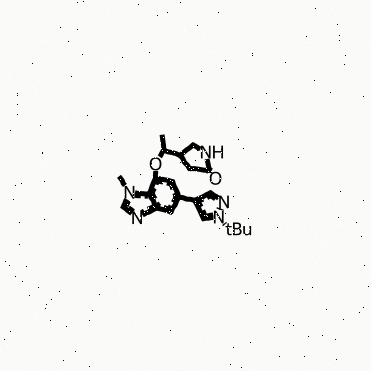 CC(Oc1cc(-c2cnn(C(C)(C)C)c2)cc2ncn(C)c12)C1CNC(=O)C1